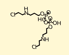 O=P(O)(OCCCNCCCl)OP(=O)(O)OCCCNCCCl